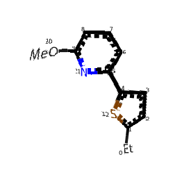 CCc1ccc(-c2cccc(OC)n2)s1